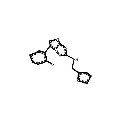 Clc1ccccc1-c1cnc2sc(NCc3cccs3)nn12